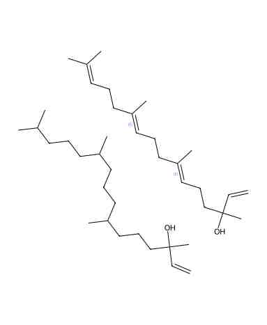 C=CC(C)(O)CC/C=C(\C)CC/C=C(\C)CCC=C(C)C.C=CC(C)(O)CCCC(C)CCCC(C)CCCC(C)C